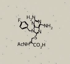 CC(=O)N[C@@H](CSc1nc2c(N)nc(N)nc2n1Cc1ccc(F)cc1)C(=O)O